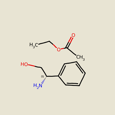 CCOC(C)=O.N[C@H](CO)c1ccccc1